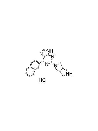 C1=C2CN(c3nc(-c4ccc5ccccc5c4)c4nc[nH]c4n3)CC2CN1.Cl